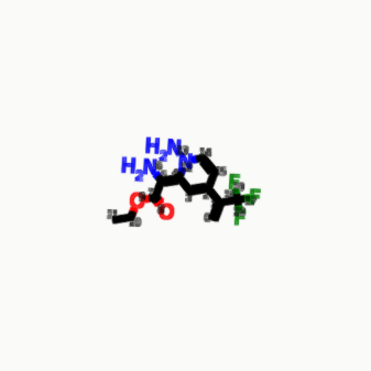 C=C(C1=C/C(=C(/N)C(=O)OCC)N(N)C=C1)C(F)(F)F